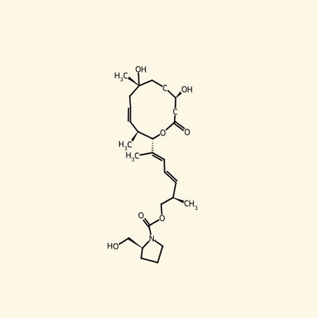 C/C(=C\C=C\[C@@H](C)COC(=O)N1CCC[C@H]1CO)[C@H]1OC(=O)C[C@H](O)CC[C@@](C)(O)C/C=C/[C@@H]1C